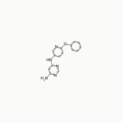 Nc1cc(Nc2ccc(Oc3ccccc3)nc2)ncn1